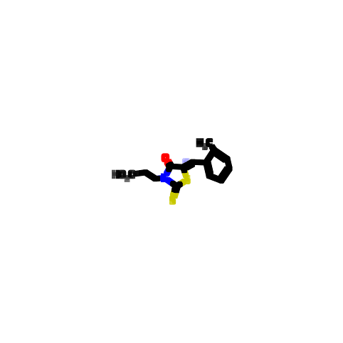 Cc1ccccc1/C=C1\SC(=S)N(CCC(=O)O)C1=O